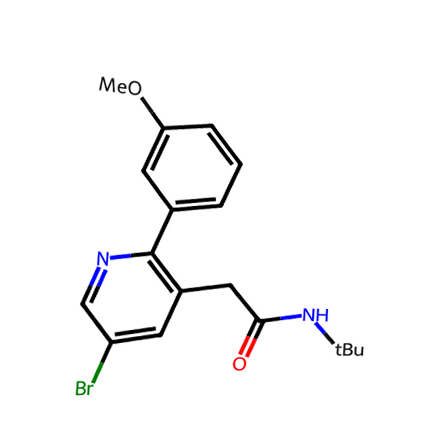 COc1cccc(-c2ncc(Br)cc2CC(=O)NC(C)(C)C)c1